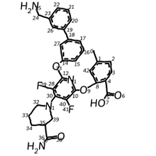 Cc1ccc(C(=O)O)c(Oc2nc(Oc3cccc(-c4cccc(CN)c4)c3)c(F)c(N3CCCC(C(N)=O)C3)c2F)c1